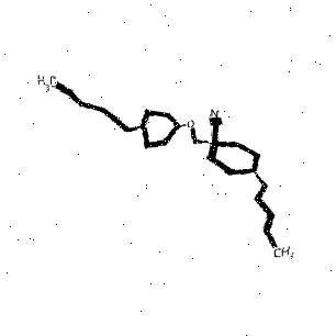 CCCCC[C@H]1CC[C@H](OC[C@]2(C#N)CC[C@H](CCCCC)CC2)CC1